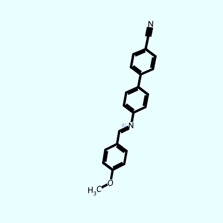 COc1ccc(/C=N/c2ccc(-c3ccc(C#N)cc3)cc2)cc1